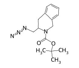 CC(C)(C)OC(=O)N1Cc2ccccc2CC1CN=[N+]=[N-]